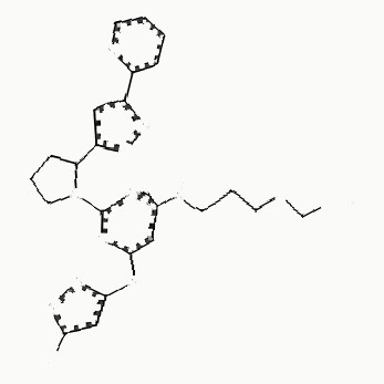 CCOCCCNc1cc(Nc2cc(C)[nH]n2)nc(N2CCCC2c2cc(-c3ccccn3)no2)n1